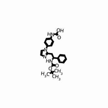 CC(C)(C)OC(=O)NC(Cc1nccn1-c1ccc(NC(=O)O)cc1)c1ccccc1